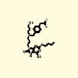 CCCCOc1nc(N)c2[nH]c(=O)n(CCCN(CCCO)Cc3ccc(CC(=O)O)cc3)c2n1